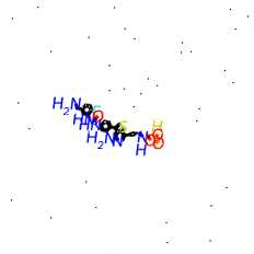 NCc1ccc(F)c(NC(=O)Nc2ccc(-c3csc4c(C#CCNCO[SH](=O)=O)cnc(N)c34)cc2)c1